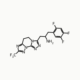 NC(Cc1cc(F)c(F)cc1F)Cc1nnc2n1CCc1nc(C(F)(F)F)nn1-2